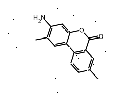 Cc1ccc2c(c1)c(=O)oc1cc(N)c(C)cc12